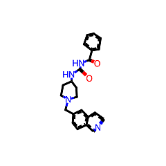 O=C(NC(=O)c1ccccc1)NC1CCN(Cc2ccc3cnccc3c2)CC1